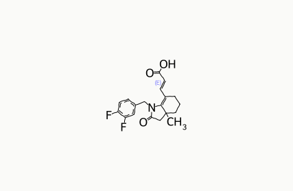 CC12CCCC(/C=C/C(=O)O)=C1N(Cc1ccc(F)c(F)c1)C(=O)C2